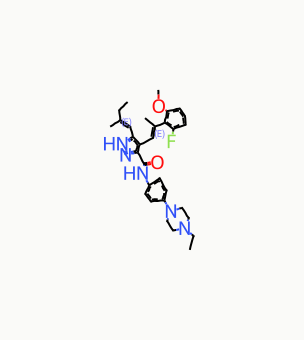 CC/C(C)=C/c1[nH]nc(C(=O)Nc2ccc(N3CCN(CC)CC3)cc2)c1/C=C(\C)c1c(F)cccc1OC